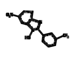 O=[N+]([O-])c1ccc2nc(-c3cccc(C(F)(F)F)c3)n(O)c2c1